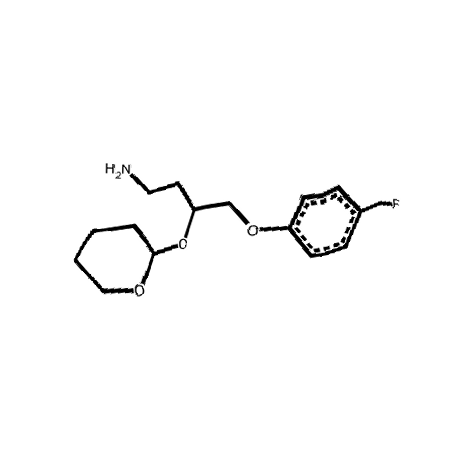 NCCC(COc1ccc(F)cc1)OC1CCCCO1